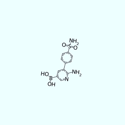 Nc1ncc(B(O)O)cc1-c1ccc(S(N)(=O)=O)cc1